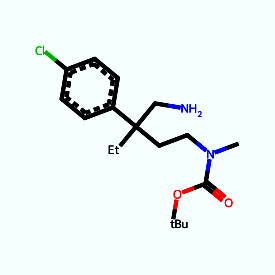 CCC(CN)(CCN(C)C(=O)OC(C)(C)C)c1ccc(Cl)cc1